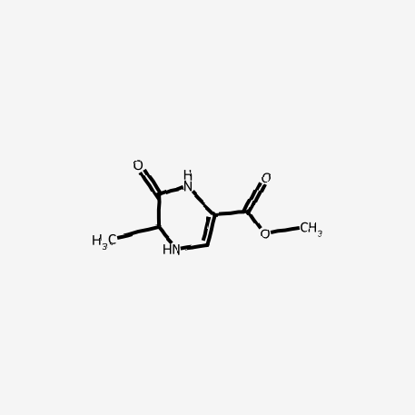 COC(=O)C1=CNC(C)C(=O)N1